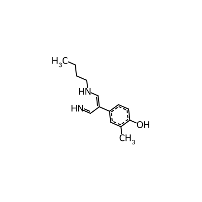 CCCCN/C=C(\C=N)c1ccc(O)c(C)c1